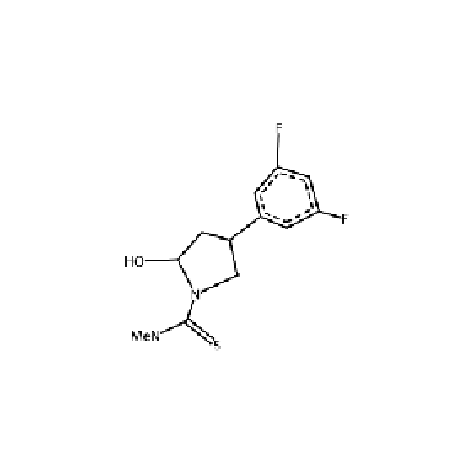 CNC(=S)N1CC(c2cc(F)cc(F)c2)CC1O